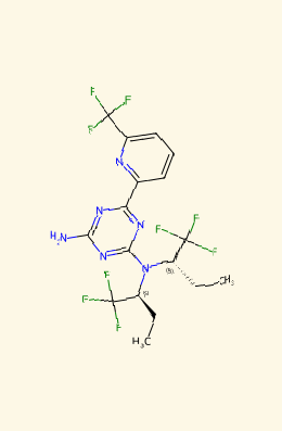 CC[C@H](N(c1nc(N)nc(-c2cccc(C(F)(F)F)n2)n1)[C@@H](CC)C(F)(F)F)C(F)(F)F